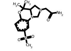 CC1(C)Oc2ccc(S(C)(=O)=O)cc2N2CN(CC(N)=O)CC21